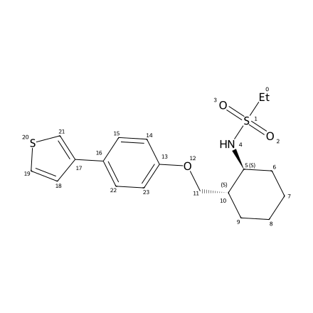 CCS(=O)(=O)N[C@H]1CCCC[C@@H]1COc1ccc(-c2ccsc2)cc1